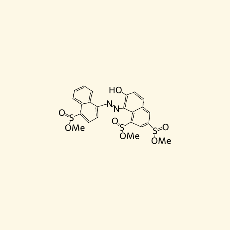 COS(=O)c1cc(S(=O)OC)c2c(/N=N/c3ccc(S(=O)OC)c4ccccc34)c(O)ccc2c1